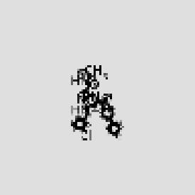 CS(=O)(=O)NC(=O)c1cnn2c(NCc3cccc(Cl)c3)cc(C(=O)N3CCC(c4ccccc4)CC3)nc12